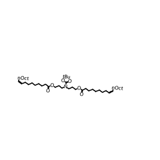 CCCCCCCC/C=C\CCCCCCCC(=O)OCCCN(CCCOC(=O)CCCCCCC/C=C\CCCCCCCC)C(=O)OC(C)(C)C